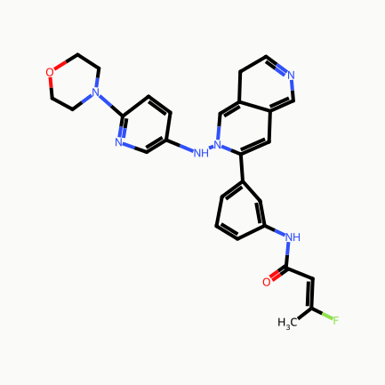 C/C(F)=C\C(=O)Nc1cccc(C2=CC3=CN=CCC3=CN2Nc2ccc(N3CCOCC3)nc2)c1